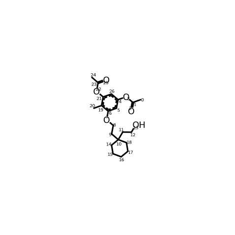 CC(=O)Oc1cc(OCCC2(CCO)CCCCC2)c(C)c(OC(C)=O)c1